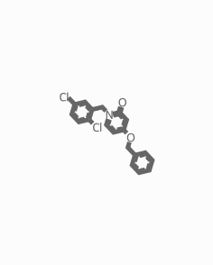 O=c1cc(OCc2ccccc2)ccn1Cc1cc(Cl)ccc1Cl